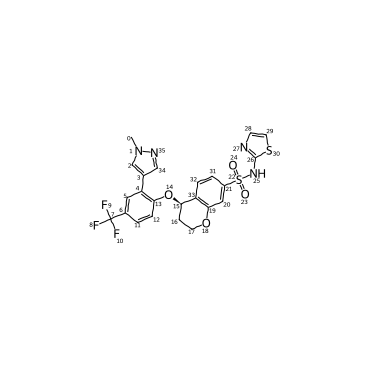 Cn1cc(-c2cc(C(F)(F)F)ccc2O[C@@H]2CCOc3cc(S(=O)(=O)Nc4nccs4)ccc32)cn1